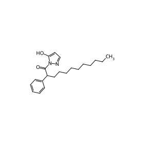 CCCCCCCCCCC(C(=O)n1nccc1O)c1ccccc1